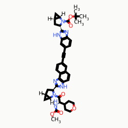 COC(=O)N[C@H](C(=O)N1[C@@H]2C[C@@H]2C[C@H]1c1nc2c(ccc3cc(C#Cc4ccc5nc([C@@H]6C[C@H]7C[C@H]7N6C(=O)OC(C)(C)C)[nH]c5c4)ccc32)[nH]1)C1CCOCC1